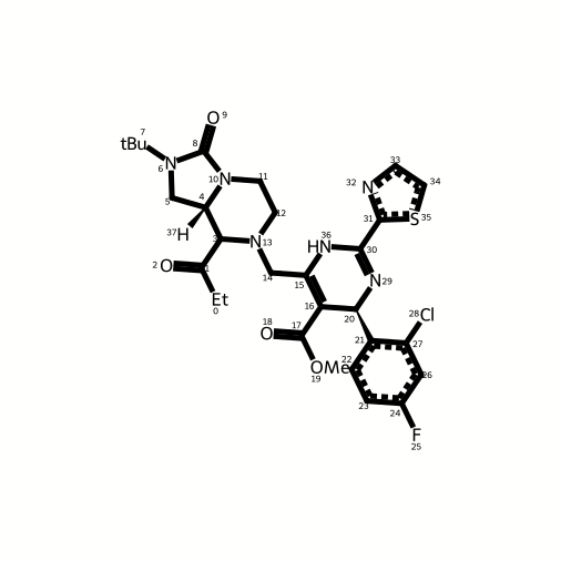 CCC(=O)C1[C@@H]2CN(C(C)(C)C)C(=O)N2CCN1CC1=C(C(=O)OC)[C@H](c2ccc(F)cc2Cl)N=C(c2nccs2)N1